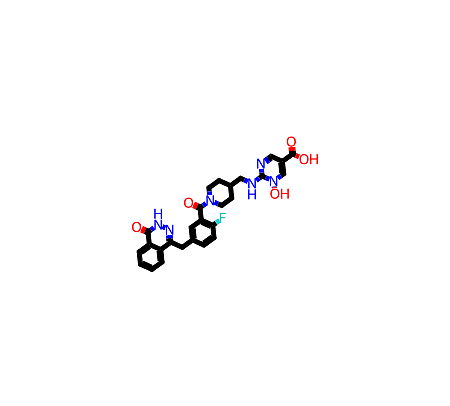 O=C(O)C1=CN(O)C(NCC2CCN(C(=O)c3cc(Cc4n[nH]c(=O)c5ccccc45)ccc3F)CC2)N=C1